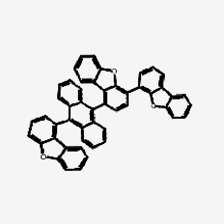 c1ccc2c(c1)oc1c(-c3ccc(-c4c5ccccc5c(-c5cccc6oc7ccccc7c56)c5ccccc45)c4c3oc3ccccc34)cccc12